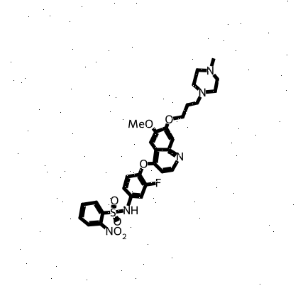 COc1cc2c(Oc3ccc(NS(=O)(=O)c4ccccc4[N+](=O)[O-])cc3F)ccnc2cc1OCCCN1CCN(C)CC1